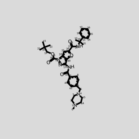 CN1CCN(Cc2ccc(C(=O)Nc3nn(C(=O)OCC(C)(C)C)c4cc(C(=O)NC(C)(C)c5ccccc5)oc34)cc2)CC1